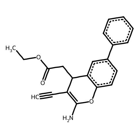 C#CC1=C(N)Oc2ccc(-c3ccccc3)cc2C1CC(=O)OCC